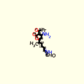 CC(C)C(=O)c1c(N)cc(C(C)CC/C=C/NC=O)oc1=O